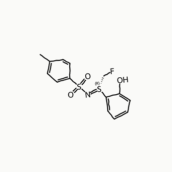 Cc1ccc(S(=O)(=O)N=[S@](CF)c2ccccc2O)cc1